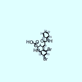 O=C(/C=C1\CC(OC(=O)O)Nc2cc(Br)cc(Br)c21)Nc1ccccc1